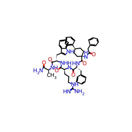 C[C@H](NC(=O)[C@H](Cc1c[nH]c2ccccc12)NC(=O)[C@H](CCCNC(=N)N)NC(=O)[C@@H](Cc1ccccc1)NC(=O)[C@]1(NC(=O)Cc2ccccc2)CC[C@@H](c2ccccc2)CC1)C(N)=O